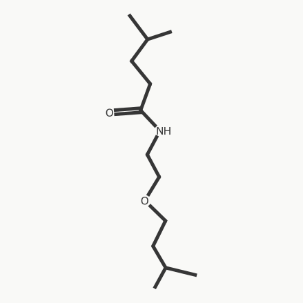 CC(C)CCOCCNC(=O)CCC(C)C